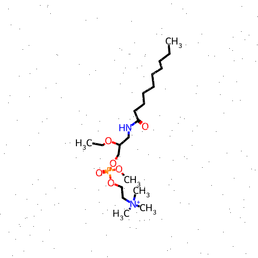 CCCCCCCCCC(=O)NCC(COP(=O)(OC)OCC[N+](C)(C)C)OCC